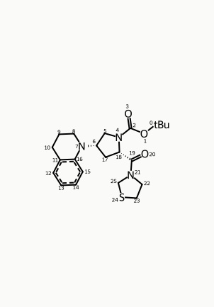 CC(C)(C)OC(=O)N1C[C@@H](N2CCCc3ccccc32)C[C@H]1C(=O)N1CCSC1